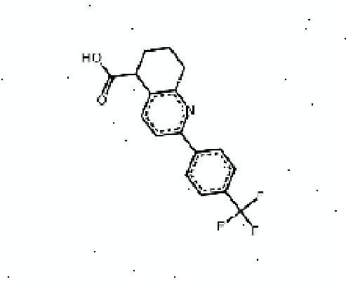 O=C(O)C1CCCc2nc(-c3ccc(C(F)(F)F)cc3)ccc21